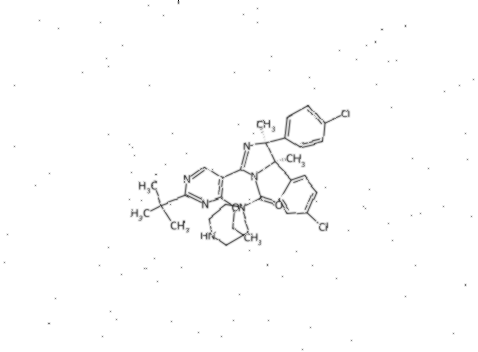 CCOc1nc(C(C)(C)C)ncc1C1=N[C@@](C)(c2ccc(Cl)cc2)[C@@](C)(c2ccc(Cl)cc2)N1C(=O)N1CCNCC1